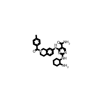 Cc1ccc(C(=O)N2CCc3ccc(Nc4nc(NC5CCCCC5N)ncc4C(N)=O)cc3C2)cc1